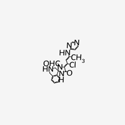 C/C(=C\C(Cl)=C1\C(=O)NC2(CNCc3ccccc32)N1C=O)Nc1ccncn1